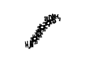 NC(=O)Oc1ccc(-c2ccc(N3CCN(c4ccc(N)cc4)CC3)cc2)cc1